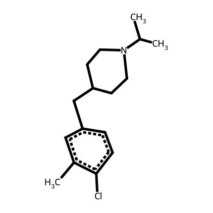 Cc1cc(CC2CCN(C(C)C)CC2)ccc1Cl